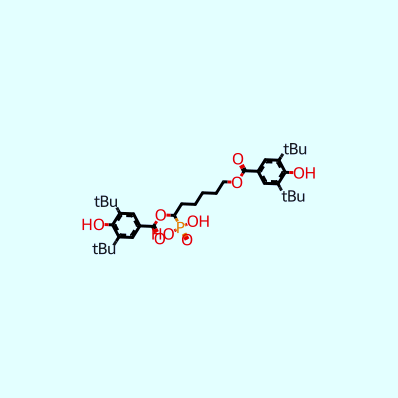 CC(C)(C)c1cc(C(=O)OCCCCCC(OC(=O)c2cc(C(C)(C)C)c(O)c(C(C)(C)C)c2)P(=O)(O)O)cc(C(C)(C)C)c1O